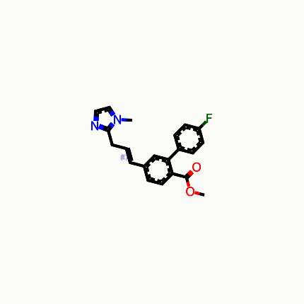 COC(=O)c1ccc(/C=C/Cc2nccn2C)cc1-c1ccc(F)cc1